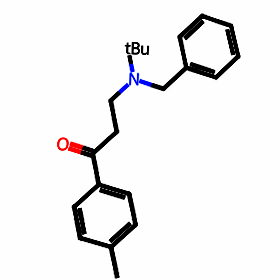 Cc1ccc(C(=O)CCN(Cc2ccccc2)C(C)(C)C)cc1